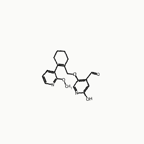 COc1ncccc1C1=C(COc2cnc(O)cc2C=O)CCCC1